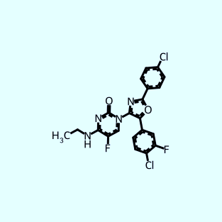 CCNc1nc(=O)n(-c2nc(-c3ccc(Cl)cc3)oc2-c2ccc(Cl)c(F)c2)cc1F